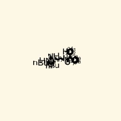 CCCCC1(CCCC)NC(=N)N(CCCCNC(=O)C(c2ccccc2)c2ccccc2)CO1